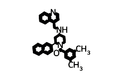 Cc1cc(C)cc(C(=O)N2CC[C@H](NCc3ccnc4ccccc34)C[C@@H]2c2ccc3ccccc3c2)c1